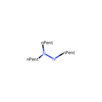 CCCCC[N]N(CCCCC)CCCCC